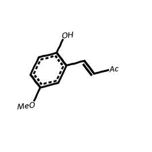 COc1ccc(O)c(/C=C/C(C)=O)c1